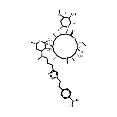 CC[C@H]1OC(=O)[C@H](C)[C@@H](O[C@H]2C[C@@](C)(OC)[C@@H](O)[C@H](C)O2)[C@H](C)[C@@H](O[C@@H]2O[C@H](C)C[C@H](N(C)CCCc3cn(CCc4ccc([N+](=O)[O-])cc4)nn3)[C@H]2O)[C@](C)(O)C[C@@H](C)CN(C)[C@H](C)[C@@H](O)[C@]1(C)O